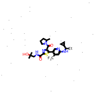 CCC(Nc1cc(C(F)(F)F)c(-c2sc(C(=O)NCC(C)(C)O)nc2C(=O)N2CCCC2C)cn1)C1CC1